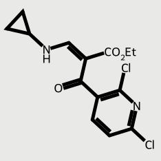 CCOC(=O)/C(=C/NC1CC1)C(=O)c1ccc(Cl)nc1Cl